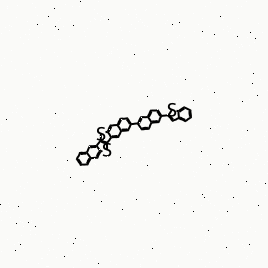 c1ccc2cc3c(cc2c1)sc1c2cc4cc(-c5ccc6cc(-c7cc8ccccc8s7)ccc6c5)ccc4cc2sc31